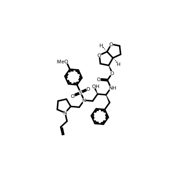 C=CCN1CCCC1CN(C[C@@H](O)[C@H](Cc1ccccc1)NC(=O)O[C@H]1CO[C@H]2OCC[C@H]21)S(=O)(=O)c1ccc(OC)cc1